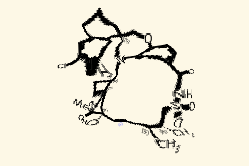 COC(=O)[C@]1(O)/C=C/C[C@H](C)[C@@H](C)S(=O)(=O)NC(=O)c2ccc3c(c2)N(C[C@@H]2CC[C@H]21)C[C@@]1(CCCc2cc(Cl)ccc21)CO3